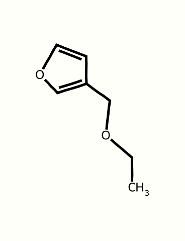 CCOCc1ccoc1